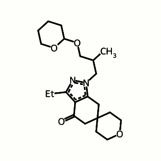 CCc1nn(CC(C)COC2CCCCO2)c2c1C(=O)CC1(CCOCC1)C2